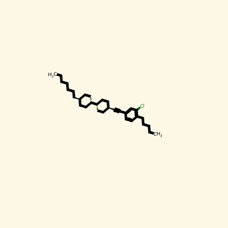 CCCCCCC[C@H]1CC[C@H]([C@H]2CC[C@H](C#Cc3ccc(CCCCC)c(Cl)c3)CC2)CC1